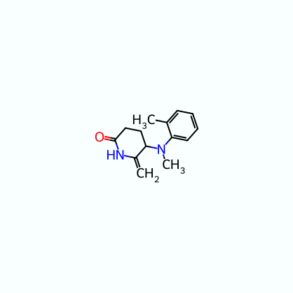 C=C1NC(=O)CCC1N(C)c1ccccc1C